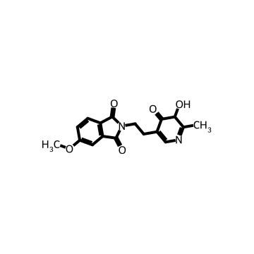 COc1ccc2c(c1)C(=O)N(CCC1=CN=C(C)C(O)C1=O)C2=O